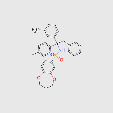 Cc1ccc(C(Cc2ccccc2)(NS(=O)(=O)c2ccc3c(c2)OCCCO3)c2cccc(C(F)(F)F)c2)nc1